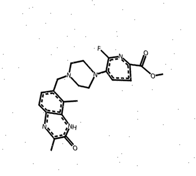 COC(=O)c1ccc(N2CCN(Cc3ccc4nc(C)c(=O)[nH]c4c3C)CC2)c(F)n1